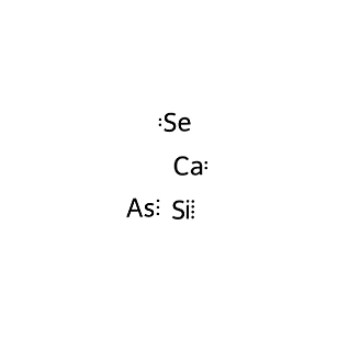 [As].[Ca].[Se].[Si]